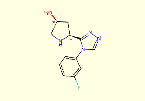 O[C@@H]1CN[C@H](c2nncn2-c2cccc(F)c2)C1